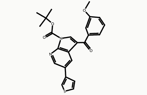 COc1cccc(C(=O)c2cn(C(=O)OC(C)(C)C)c3ncc(-c4ccsc4)cc23)c1